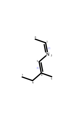 C/C=N\C=C(/C)CC